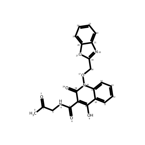 CC(=O)CNC(=O)c1c(O)c2ccccc2n(OCc2nc3ccccc3o2)c1=O